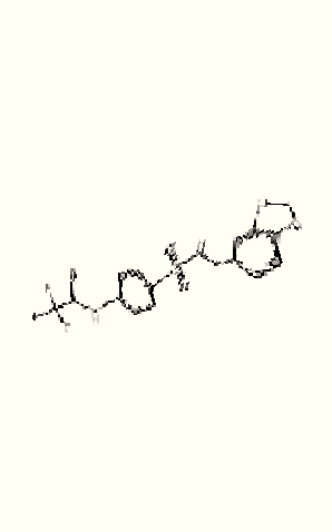 O=C(Nc1ccc(S(=O)(=O)NCc2ccc3c(c2)OCO3)cc1)C(F)(F)F